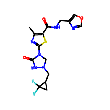 Cc1nc(N2CN(CC3CC3(F)F)NC2=O)sc1C(=O)NCc1cocn1